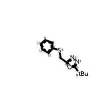 CC(C)(C)c1nnc(CSc2ccccc2)o1